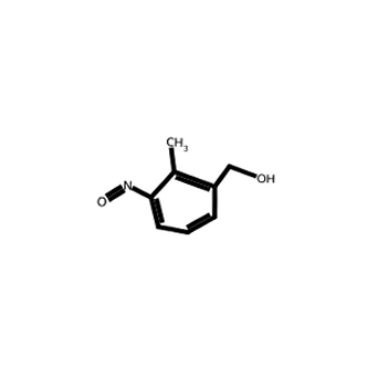 Cc1c(CO)cccc1N=O